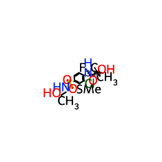 CSc1c(S(=O)(=O)NCC(C)O)ccc(NC(=O)[C@@](C)(O)C(F)(F)F)c1Cl